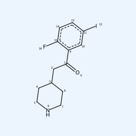 O=C(CC1CCNCC1)c1cc(I)ccc1F